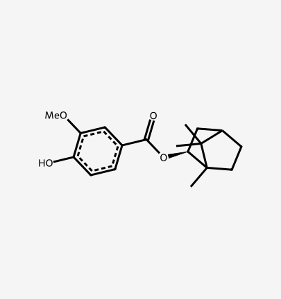 COc1cc(C(=O)O[C@H]2CC3CCC2(C)C3(C)C)ccc1O